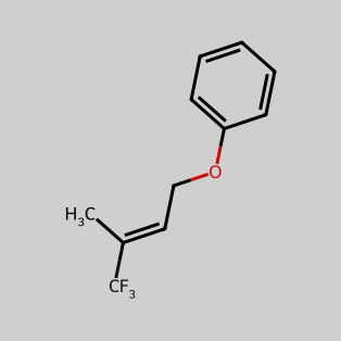 CC(=CCOc1ccccc1)C(F)(F)F